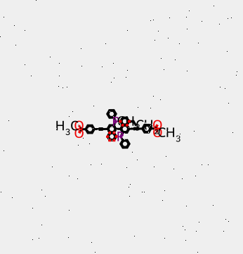 C=C/C=C\c1c(C#Cc2ccc(C(=O)OC)cc2)cc(P(c2ccccc2)c2ccccc2)c(-c2c(P(c3ccccc3)c3ccccc3)cc(C#Cc3ccc(C(=O)OC)cc3)c3ccccc23)c1C